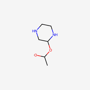 CC([O])OC1CNCCN1